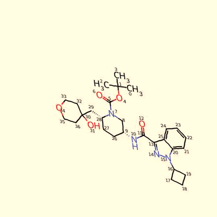 CC(C)(C)OC(=O)N1C[C@H](NC(=O)c2nn(C3CCC3)c3ccccc23)CC[C@@H]1CC1(O)CCOCC1